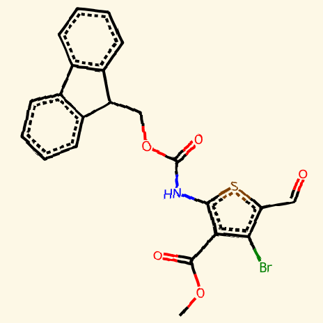 COC(=O)c1c(NC(=O)OCC2c3ccccc3-c3ccccc32)sc(C=O)c1Br